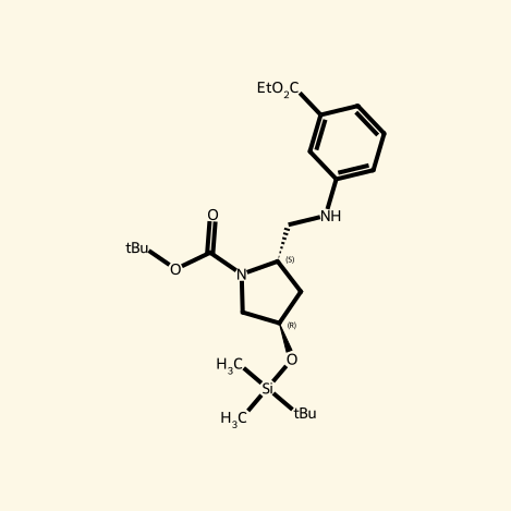 CCOC(=O)c1cccc(NC[C@@H]2C[C@@H](O[Si](C)(C)C(C)(C)C)CN2C(=O)OC(C)(C)C)c1